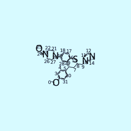 COc1ccc(CCC(Cn2ccnc2)Sc2ccc(N3CCN(C=O)CC3)cc2)cc1